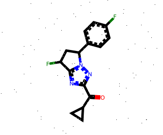 O=C(c1nc2n(n1)C(c1ccc(F)cc1)CC2F)C1CC1